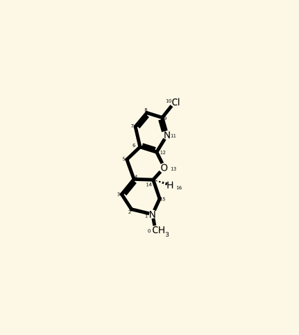 CN1CC=C2Cc3ccc(Cl)nc3O[C@H]2C1